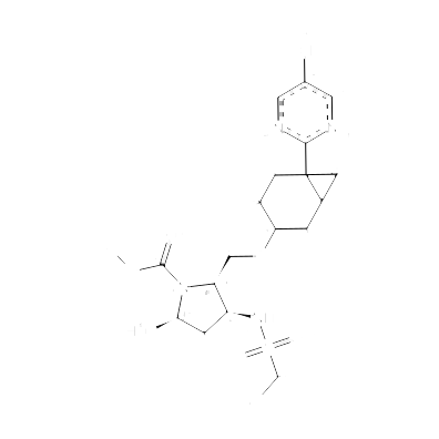 COC(=O)N1[C@H](C)C[C@H](NS(=O)(=O)CF)[C@@H]1COC1CCC2(c3ncc(Cl)cn3)CC2C1